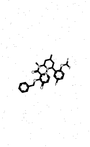 CC1CC(c2cc(F)ccc2OC(F)F)N2C(C1)N(C)C(=O)c1c(OCc3ccccc3)c(=O)ccn12